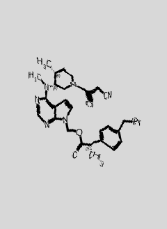 CC(C)Cc1ccc([C@H](C)C(=O)OCn2ccc3c(N(C)[C@H]4CN(C(=O)CC#N)CC[C@H]4C)ncnc32)cc1